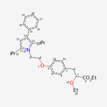 CCOC(=O)C(Cc1ccc(OCCn2c(C(C)C)cc(-c3ccccc3)c2C(C)C)cc1)OCC